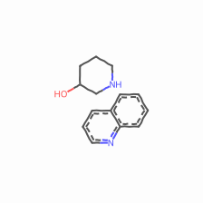 OC1CCCNC1.c1ccc2ncccc2c1